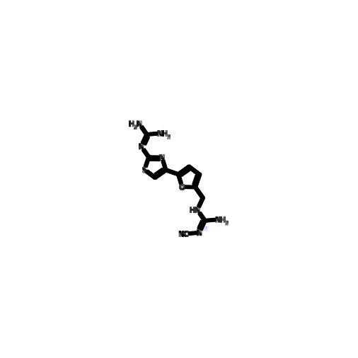 N#C/N=C(/N)NCc1ccc(-c2csc(N=C(N)N)n2)o1